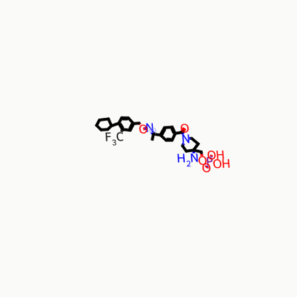 C/C(=N\OCc1ccc(C2CCCCC2)c(C(F)(F)F)c1)c1ccc(C(=O)N2CCC(N)(COP(=O)(O)O)CC2)cc1